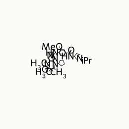 COc1cc(C(=O)NC2CCN(C(C)C)C2)ccc1Nc1ncc2c(n1)N(C1CCCC1)CC(C)(C)C(=O)N2C